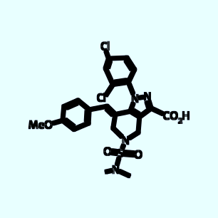 COc1ccc(C=C2CN(S(=O)(=O)N(C)C)Cc3c(C(=O)O)nn(-c4ccc(Cl)cc4Cl)c32)cc1